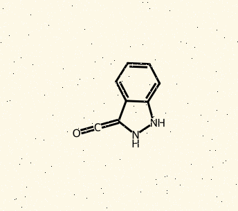 O=C=C1NNc2ccccc21